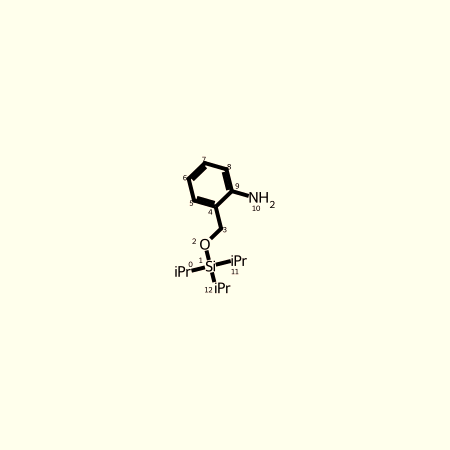 CC(C)[Si](OCc1ccccc1N)(C(C)C)C(C)C